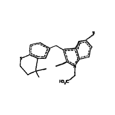 Cc1c(Cc2ccc3c(c2)C(C)(C)CCS3)c2cc(F)ccc2n1CC(=O)O